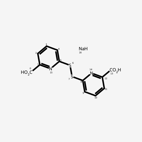 O=C(O)c1cccc(SSc2cccc(C(=O)O)n2)n1.[NaH]